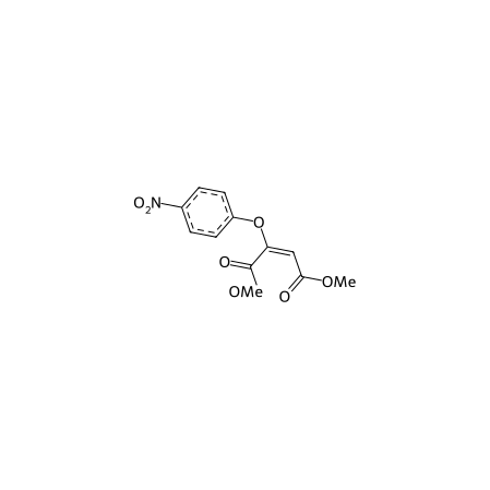 COC(=O)C=C(Oc1ccc([N+](=O)[O-])cc1)C(=O)OC